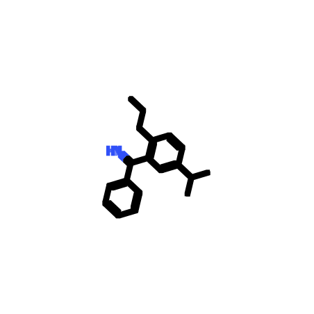 CCCc1ccc(C(C)C)cc1C(=N)c1ccccc1